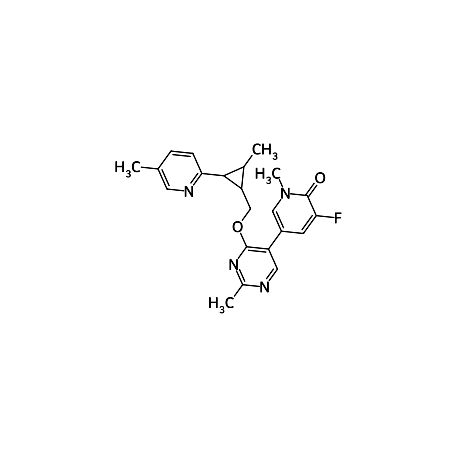 Cc1ccc(C2C(C)C2COc2nc(C)ncc2-c2cc(F)c(=O)n(C)c2)nc1